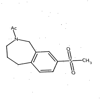 CC(=O)N1CCCc2ccc(S(C)(=O)=O)cc2C1